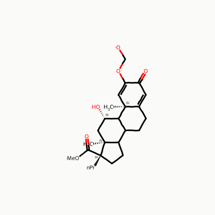 CCC[C@]1(C(=O)OC)CCC2C3CCC4=CC(=O)C(OC[O])=C[C@]4(C)C3[C@@H](O)C[C@@]21C